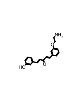 NCCOc1cccc(/C=C/C(=O)/C=C/c2cccc(O)c2)c1